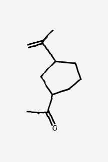 C=C(C)C1CCCC(C(C)=O)C1